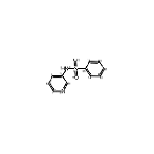 O=S(=O)(Nc1cccnc1)c1ccccc1